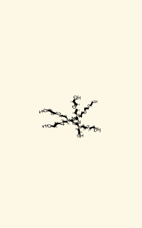 OCCOCCOCCN(CCOCCO)c1nc(N(CCO)CCOCCO)nc(N(CCOCCO)CCOCCO)n1